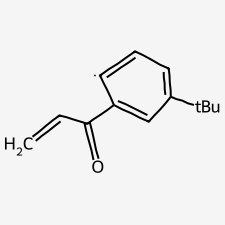 C=CC(=O)c1[c]ccc(C(C)(C)C)c1